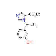 CCOC(=O)c1cncn1C(C)c1cccc(O)c1